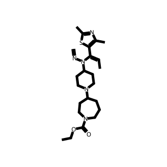 C=NN(/C(=C\C)c1sc(C)nc1C)C1CCN(C2CCCN(C(=O)OCC)CC2)CC1